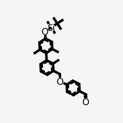 Cc1cc(O[Si](C)(C)C(C)(C)C)cc(C)c1-c1cccc(COc2ccc(C=O)cc2)c1C